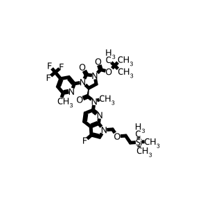 Cc1cc(C(F)(F)F)cc(N2C(=O)N(C(=O)OC(C)(C)C)C[C@H]2C(=O)N(C)c2ccc3c(F)cn(COCC[Si](C)(C)C)c3n2)n1